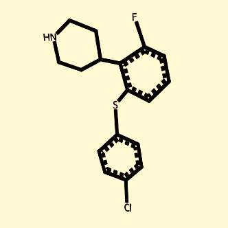 Fc1cccc(Sc2ccc(Cl)cc2)c1C1CCNCC1